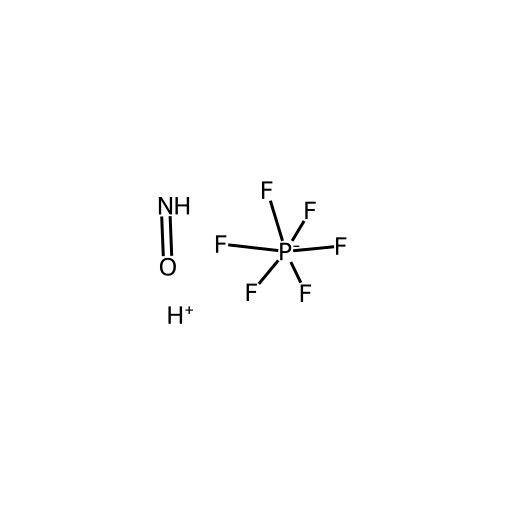 F[P-](F)(F)(F)(F)F.N=O.[H+]